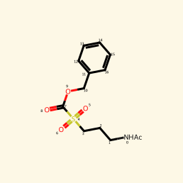 CC(=O)NCCCS(=O)(=O)C(=O)OCc1ccccc1